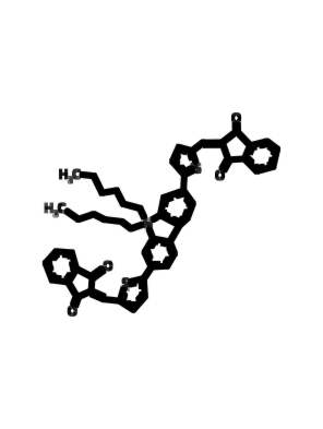 CCCCCC[Si]1(CCCCCC)c2cc(-c3ccc(C=C4C(=O)c5ccccc5C4=O)s3)ccc2-c2ccc(-c3ccc(C=C4C(=O)c5ccccc5C4=O)s3)cc21